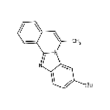 Cc1cc2ccccc2c2nc3ccc(C(C)(C)C)cc3n12